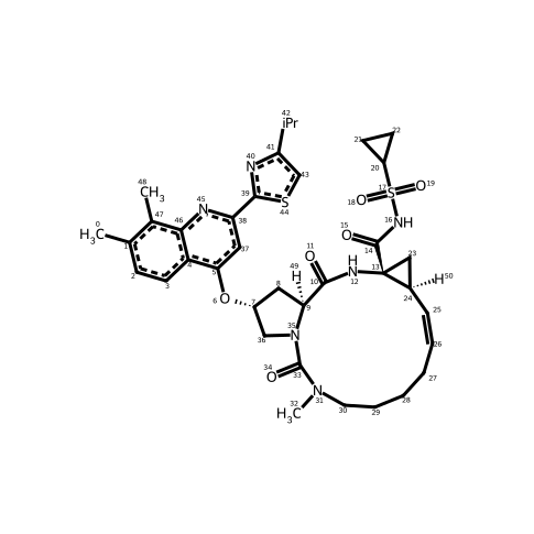 Cc1ccc2c(O[C@@H]3C[C@H]4C(=O)N[C@]5(C(=O)NS(=O)(=O)C6CC6)C[C@H]5/C=C\CCCCN(C)C(=O)N4C3)cc(-c3nc(C(C)C)cs3)nc2c1C